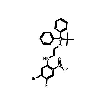 CC(C)(C)[Si](OCCNc1cc(Br)c(F)cc1[N+](=O)[O-])(c1ccccc1)c1ccccc1